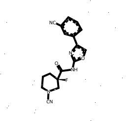 N#Cc1cccc(-c2coc(NC(=O)[C@@]3(F)CCCN(C#N)C3)n2)c1